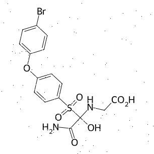 NC(=O)C(O)(NCC(=O)O)S(=O)(=O)c1ccc(Oc2ccc(Br)cc2)cc1